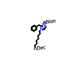 CCCCCCCCCCCCCCCCCn1cc[n+](CCCCCCCCC)c1Cc1ccccc1